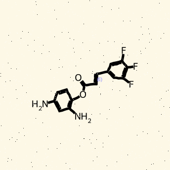 Nc1ccc(OC(=O)/C=C/c2cc(F)c(F)c(F)c2)c(N)c1